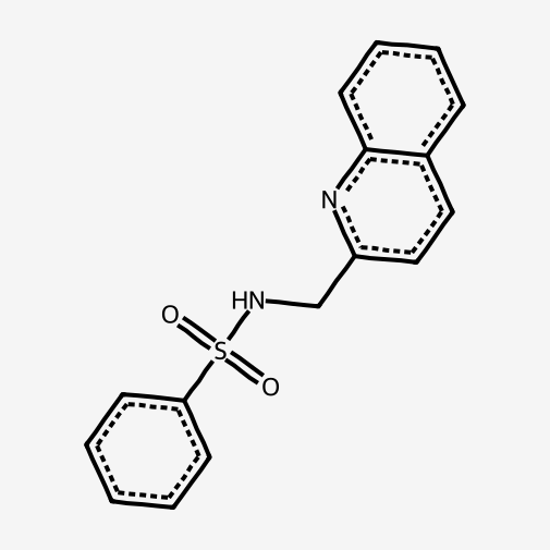 O=S(=O)(NCc1ccc2ccccc2n1)c1ccccc1